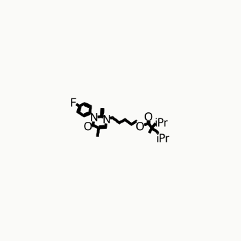 C=C1N(CCCCCOC(=O)C(C)(CC(C)C)C(C)C)C=C(C)C(=O)N1c1ccc(F)cc1